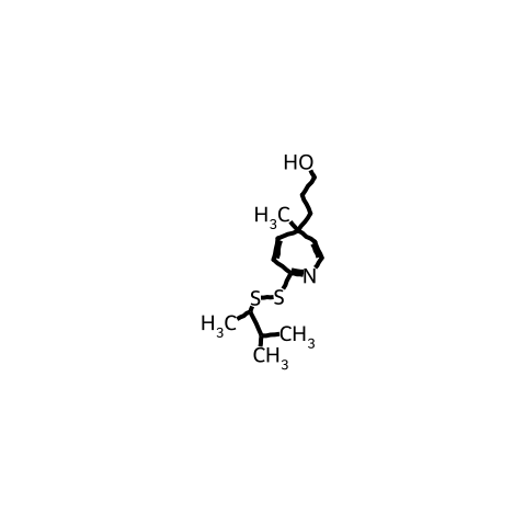 CC(C)C(C)SSC1=NC=CC(C)(CCCO)C=C1